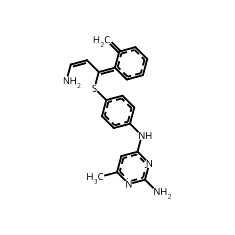 C=c1cccc/c1=C(/C=C\N)Sc1ccc(Nc2cc(C)nc(N)n2)cc1